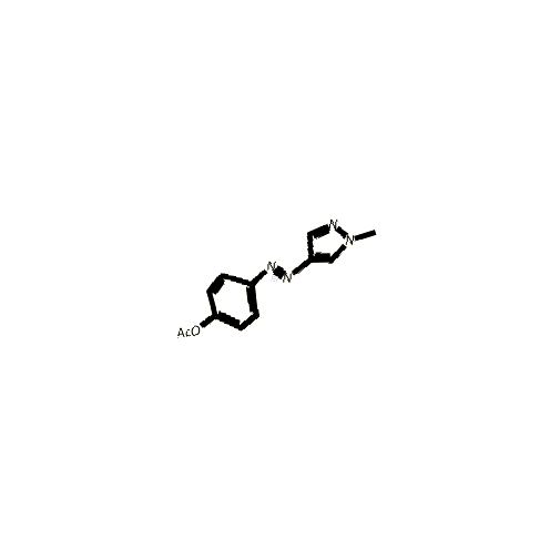 CC(=O)Oc1ccc(/N=N/c2cnn(C)c2)cc1